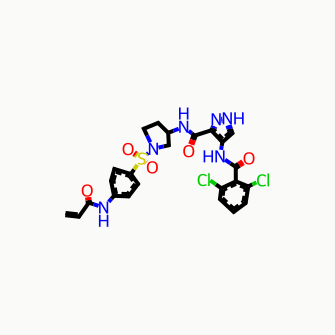 C=CC(=O)Nc1ccc(S(=O)(=O)N2CCC(NC(=O)c3n[nH]cc3NC(=O)c3c(Cl)cccc3Cl)C2)cc1